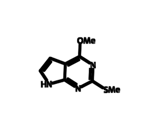 COc1nc(SC)nc2[nH]ccc12